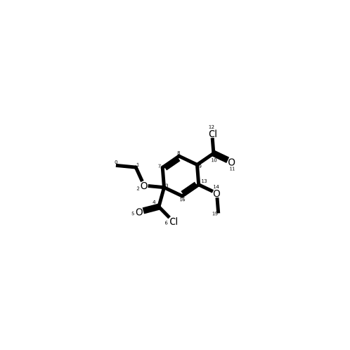 CCOC1(C(=O)Cl)C=CC(C(=O)Cl)C(OC)=C1